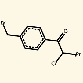 CC(C)C(Cl)C(=O)c1ccc(CBr)cc1